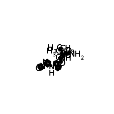 CC(C)(C)c1cc(NC(=O)C(=O)c2ccc(Nc3ccnc(N4CCOCC4)c3)c3ccccc23)c(OC(N)=O)s1